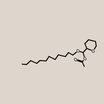 CCCCCCCCCCCCOC(OC(C)=O)C1CCCCO1